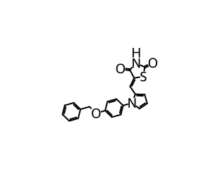 O=C1NC(=O)/C(=C/c2cccn2-c2ccc(OCc3ccccc3)cc2)S1